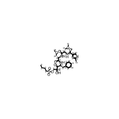 CCCCS(=O)(=O)OC[C@@](C)(O)C(=O)[C@H](Cc1ccccc1)NC(=O)[C@H](COC)NC(=O)[C@H](COC)NC(=O)c1cnc(C)s1